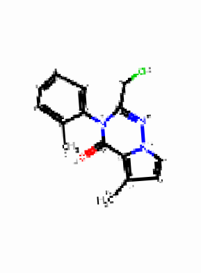 Cc1ccccc1-n1c(CCl)nn2ccc(C)c2c1=O